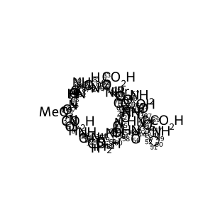 COC(C(=O)O)C1NC(=O)C(C)NC(=O)C(CC(=O)O)NC(=O)C(C)NC(=O)CN(C)C(=O)C(NC(=O)C(NC(=O)C(CCC(=O)O)NC(=O)C(Cc2c[nH]c3ccccc23)NC(=O)CCCCCCC(C)C)C(O)C(N)=O)C(C)OC(=O)C(C(C)C)NC(=O)C(C(C)CC(=O)O)NC(=O)C(CC(N)=O)NC(=O)CNC1=O